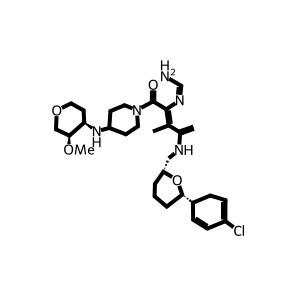 C=C(NC[C@H]1CCC[C@@H](C2C=CC(Cl)=CC2)O1)/C(C)=C(\N=C/N)C(=O)N1CCC(N[C@@H]2CCOC[C@@H]2OC)CC1